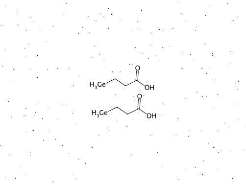 O=C(O)C[CH2][GeH3].O=C(O)C[CH2][GeH3]